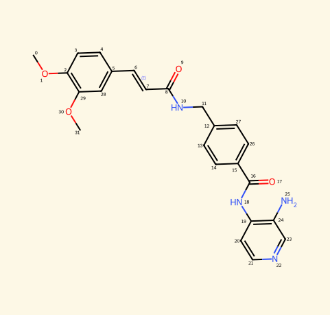 COc1ccc(/C=C/C(=O)NCc2ccc(C(=O)Nc3ccncc3N)cc2)cc1OC